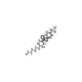 CCCCCCCC1CCC(C(=O)OC2CCC(CCC)CC2)CC1